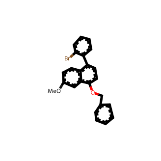 COc1ccc2c(-c3ccccc3Br)ccc(OCc3ccccc3)c2c1